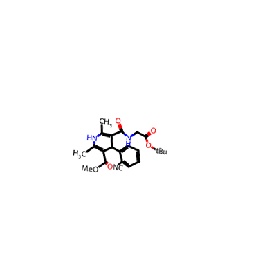 COC(=O)C1=C(C)NC(C)=C(C(=O)NCC(=O)OC(C)(C)C)C1c1ccccc1C#N